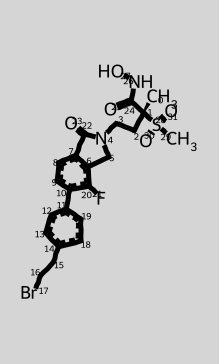 C[C@@](CCN1Cc2c(ccc(-c3ccc(CCBr)cc3)c2F)C1=O)(C(=O)NO)S(C)(=O)=O